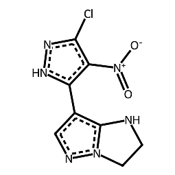 O=[N+]([O-])c1c(Cl)n[nH]c1-c1cnn2c1NCC2